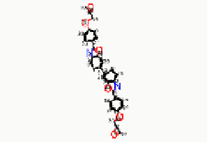 c1cc(-c2nc3ccc(-c4ccc5nc(-c6ccc(OCC7CO7)cc6)oc5c4)cc3o2)ccc1OCC1CO1